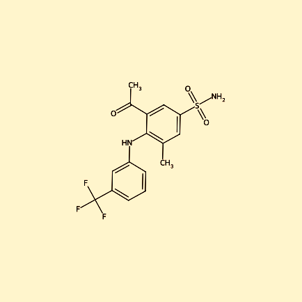 CC(=O)c1cc(S(N)(=O)=O)cc(C)c1Nc1cccc(C(F)(F)F)c1